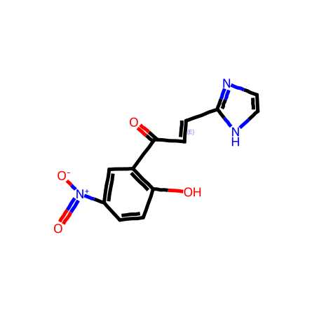 O=C(/C=C/c1ncc[nH]1)c1cc([N+](=O)[O-])ccc1O